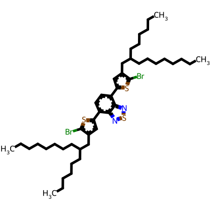 CCCCCCCCC(CCCCCC)Cc1cc(-c2ccc(-c3cc(CC(CCCCCC)CCCCCCCC)c(Br)s3)c3nsnc23)sc1Br